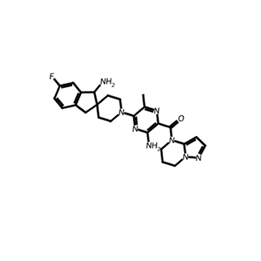 Cc1nc(C(=O)N2CCCn3nccc32)c(N)nc1N1CCC2(CC1)Cc1ccc(F)cc1C2N